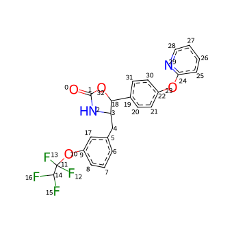 O=C1NC(Cc2cccc(OC(F)(F)C(F)F)c2)C(c2ccc(Oc3ccccn3)cc2)O1